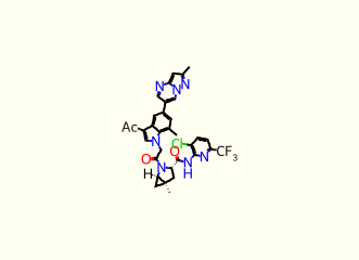 CC(=O)c1cn(CC(=O)N2[C@H](C(=O)Nc3nc(C(F)(F)F)ccc3Cl)C[C@@]3(C)C[C@@H]23)c2c(C)cc(-c3cnc4cc(C)nn4c3)cc12